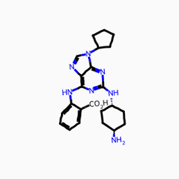 N[C@H]1CC[C@H](Nc2nc(Nc3ccccc3C(=O)O)c3ncn(C4CCCC4)c3n2)CC1